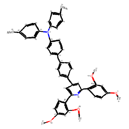 CCOc1ccc(-c2cc(-c3ccc(-c4ccc(N(c5ccc(OC)cc5)c5ccc(OC)cc5)cc4)cc3)cc(-c3ccc(OCC)cc3OCC)n2)c(OCC)c1